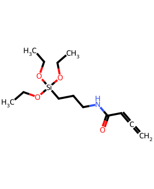 C=C=CC(=O)NCCC[Si](OCC)(OCC)OCC